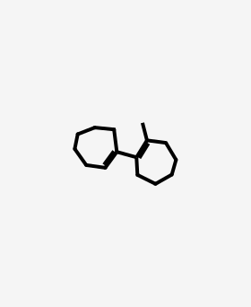 CC1=C(C2=CCCCCC2)CCCCC1